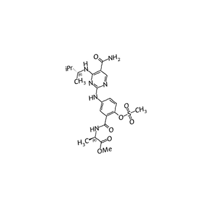 COC(=O)[C@@H](C)NC(=O)c1cc(Nc2ncc(C(N)=O)c(N[C@H](C)C(C)C)n2)ccc1OS(C)(=O)=O